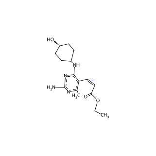 CCOC(=O)/C=C\c1c(C)nc(N)nc1N[C@H]1CC[C@H](O)CC1